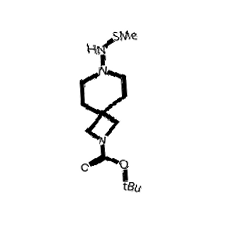 CSNN1CCC2(CC1)CN(C(=O)OC(C)(C)C)C2